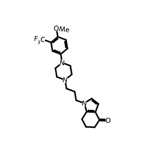 COc1ccc(N2CCN(CCCn3ccc4c3CCCC4=O)CC2)cc1C(F)(F)F